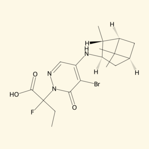 CCC(F)(C(=O)O)n1ncc(N[C@@H]2C[C@@H]3C[C@H]([C@H]2C)C3(C)C)c(Br)c1=O